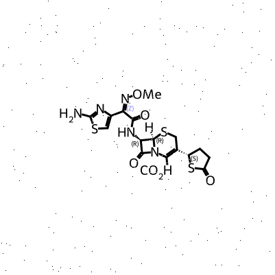 CO/N=C(\C(=O)N[C@@H]1C(=O)N2C(C(=O)O)=C([C@@H]3CCC(=O)S3)CS[C@H]12)c1csc(N)n1